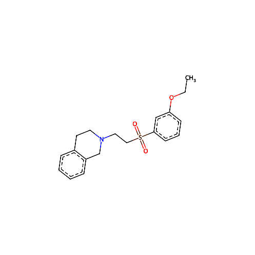 CCOc1cccc(S(=O)(=O)CCN2CCc3ccccc3C2)c1